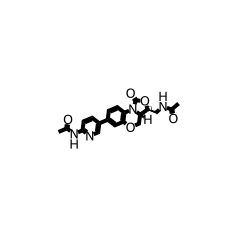 CC(=O)NC[C@@H]1OC(=O)N2c3ccc(-c4ccc(NC(C)=O)nc4)cc3OC[C@@H]12